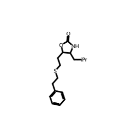 CC(C)CC1NC(=O)OC1CCSCCc1ccccc1